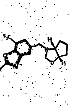 Cc1nc2cc(CN3CO[C@H]4CCC[C@H]43)cc(C(F)(F)F)c2o1